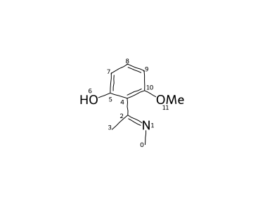 CN=C(C)c1c(O)cccc1OC